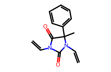 C=CN1C(=O)N(C=C)C(C)(c2ccccc2)C1=O